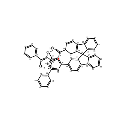 C=C(/N=C(Cl)\N=C(/C)c1ccccc1)C1C=CC2=C(C1)C1(c3ccccc32)c2ccccc2-c2ccc(-c3nc(Cl)nc(-c4ccccc4)n3)cc21